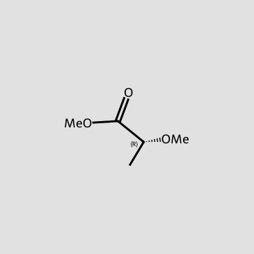 COC(=O)[C@@H](C)OC